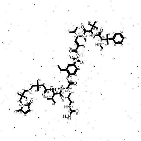 CCc1cc(S(=O)(=O)NC(=O)/C(C)=C/[C@H](C(C)C)N(C)C(=O)C(NC(=O)[C@@H](NC)C(C)(C)c2ccccc2)C(C)(C)C)ccc1NC(=O)[C@H](CCCNC(N)=O)NC(=O)C(NC(=O)CC(C)(C)COCC(C)(C)CN1C(=O)C=CC1=O)C(C)C